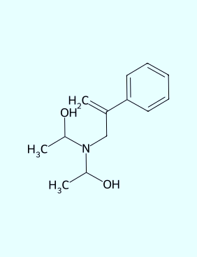 C=C(CN(C(C)O)C(C)O)c1ccccc1